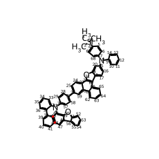 C[Si](C)(C)c1ccc(N(c2ccccc2)c2ccc3c(c2)oc2c4ccc(-c5ccc(N(c6ccccc6-c6ccccc6)c6cccc7c6oc6ccccc67)cc5)cc4c4ccccc4c32)cc1